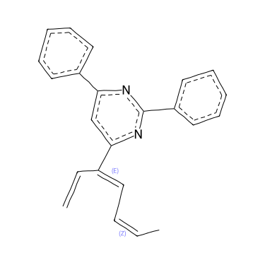 C=C/C(=C\C=C/C)c1cc(-c2ccccc2)nc(-c2ccccc2)n1